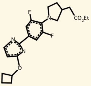 CCOC(=O)CC1CCN(c2c(F)cc(-c3nccc(OC4CCC4)n3)cc2F)C1